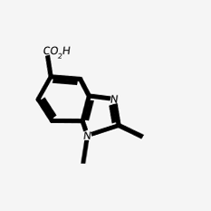 Cc1nc2cc(C(=O)O)ccc2n1C